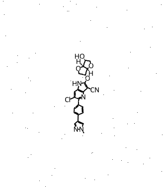 Cn1cc(-c2ccc(-c3nc4c(C#N)c(O[C@@H]5CO[C@H]6[C@@H]5OC[C@H]6O)[nH]c4cc3Cl)cc2)cn1